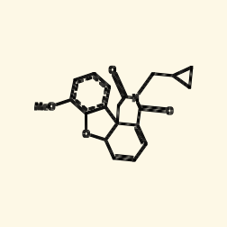 COc1cccc2c1OC1C=CC=C3C(=O)N(CC4CC4)C(=O)CC321